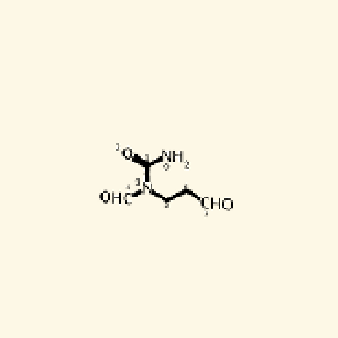 NC(=O)N(C=O)CCC=O